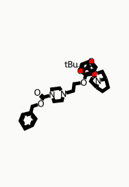 CC(C)(C)OC(=O)N1CC2CCC(C1)N2c1ccccc1OCCN1CCN(C(=O)OCc2ccccc2)CC1